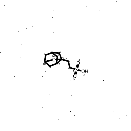 O=S(=O)(O)CCC12CC3CC(CC1C3)C2